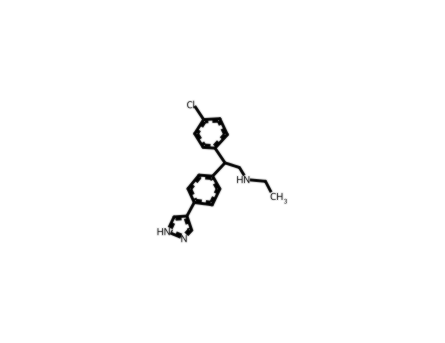 CCNCC(c1ccc(Cl)cc1)c1ccc(-c2cn[nH]c2)cc1